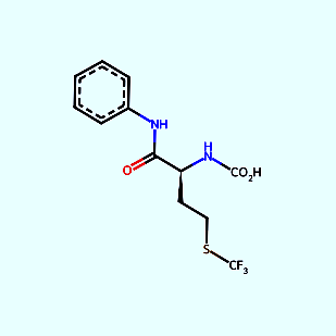 O=C(O)N[C@@H](CCSC(F)(F)F)C(=O)Nc1ccccc1